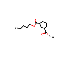 CC(C)CCCCOC(=O)C1CCCC(C(=O)OC(C)(C)C)C1